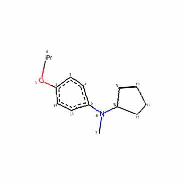 CC(C)Oc1ccc(N(C)C2CCCC2)cc1